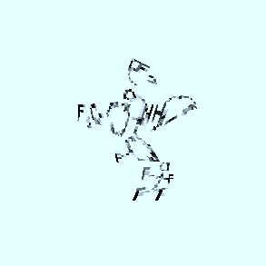 O=C(CCC(F)(F)F)N[C@](CC1C=CC=CC1)(c1ccc(C(F)(F)F)cc1)c1cc(F)cc(OC(F)(F)C(F)F)c1